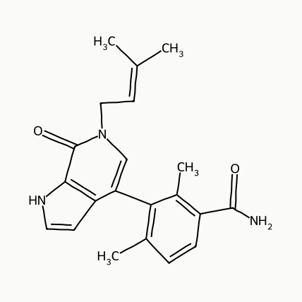 CC(C)=CCn1cc(-c2c(C)ccc(C(N)=O)c2C)c2cc[nH]c2c1=O